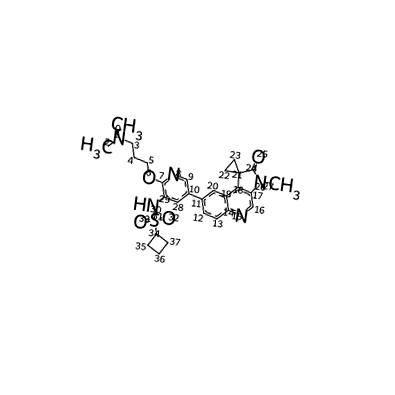 CN(C)CCCOc1ncc(-c2ccc3ncc4c(c3c2)C2(CC2)C(=O)N4C)cc1NS(=O)(=O)C1CCC1